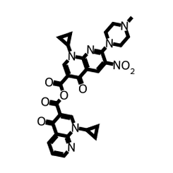 CN1CCN(c2nc3c(cc2[N+](=O)[O-])c(=O)c(C(=O)OC(=O)c2cn(C4CC4)c4ncccc4c2=O)cn3C2CC2)CC1